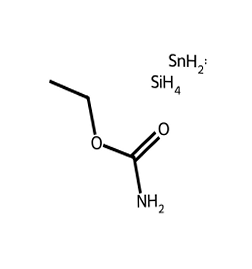 CCOC(N)=O.[SiH4].[SnH2]